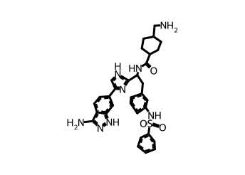 NCC1CCC(C(=O)NC(Cc2cccc(NS(=O)(=O)c3ccccc3)c2)c2nc(-c3ccc4c(N)n[nH]c4c3)c[nH]2)CC1